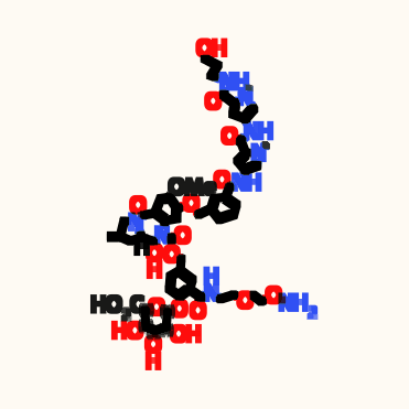 C=C1C[C@H]2C(O)N(C(=O)OCc3ccc(O[C@@H]4O[C@H](C(=O)O)[C@@H](O)[C@H](O)[C@H]4O)c(C(=O)NCCOCCON)c3)c3cc(OCc4cccc(C(=O)Nc5cc(C(=O)Nc6cc(C(=O)NCCCO)n(C)c6)n(C)c5)c4)c(OC)cc3C(=O)N2C1